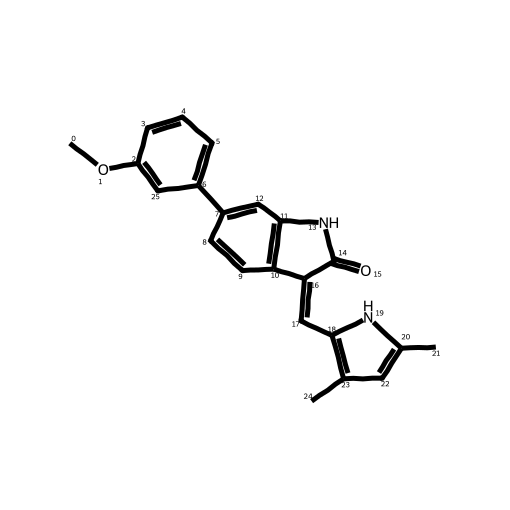 COc1cccc(-c2ccc3c(c2)NC(=O)C3=Cc2[nH]c(C)cc2C)c1